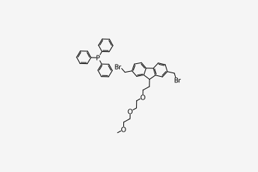 COCCOCCOCCC1c2cc(CBr)ccc2-c2ccc(CBr)cc21.c1ccc(P(c2ccccc2)c2ccccc2)cc1